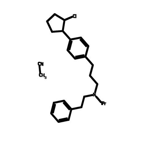 CC#N.CC(C)N(CCCc1ccc(C2CCCC2Cl)cc1)CCc1ccccc1